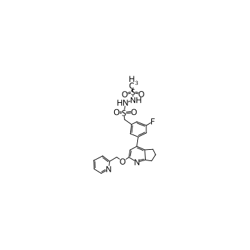 CS(=O)(=O)NNS(=O)(=O)Cc1cc(F)cc(-c2cc(OCc3ccccn3)nc3c2CCC3)c1